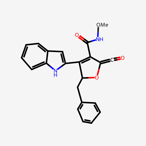 CONC(=O)C1=C(c2cc3ccccc3[nH]2)C(Cc2ccccc2)OC1=C=O